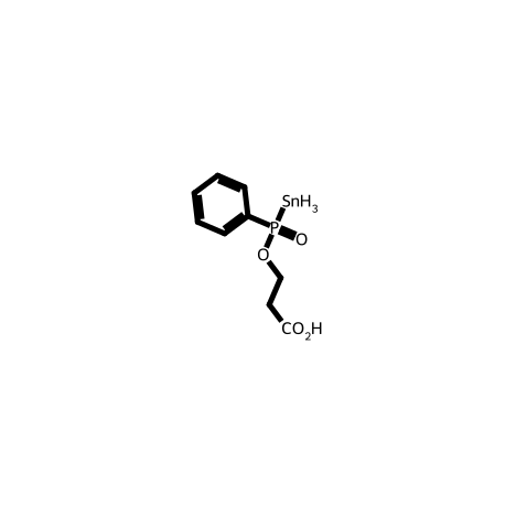 O=C(O)CCO[P](=O)([SnH3])c1ccccc1